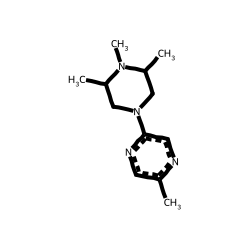 Cc1cnc(N2CC(C)N(C)C(C)C2)cn1